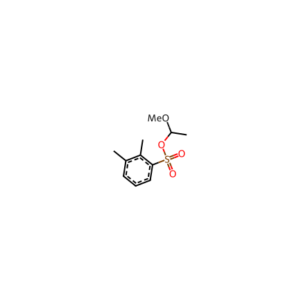 COC(C)OS(=O)(=O)c1cccc(C)c1C